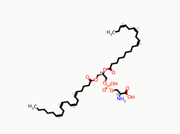 CC/C=C\C/C=C\C/C=C\CCCCCCCC(=O)O[C@H](COC(=O)CCC/C=C\C/C=C\C/C=C\C/C=C\CCCCC)COP(=O)(O)OC[C@H](N)C(=O)O